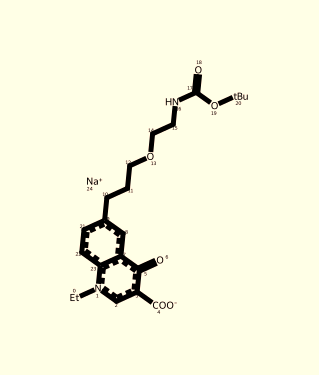 CCn1cc(C(=O)[O-])c(=O)c2cc(CCCOCCNC(=O)OC(C)(C)C)ccc21.[Na+]